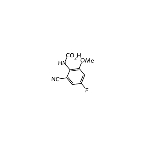 COc1cc(F)cc(C#N)c1NC(=O)O